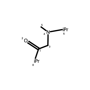 CC(C)C(=O)CN(C)C(C)C